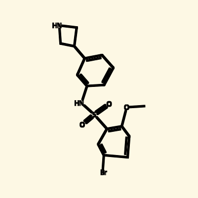 COc1ccc(Br)cc1S(=O)(=O)Nc1cccc(C2CNC2)c1